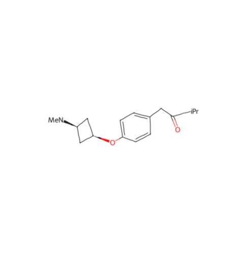 CN[C@H]1C[C@@H](Oc2ccc(CC(=O)C(C)C)cc2)C1